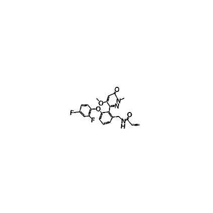 C=CC(=O)NCc1cccc(Oc2ccc(F)cc2F)c1-c1nn(C)c(=O)cc1OC